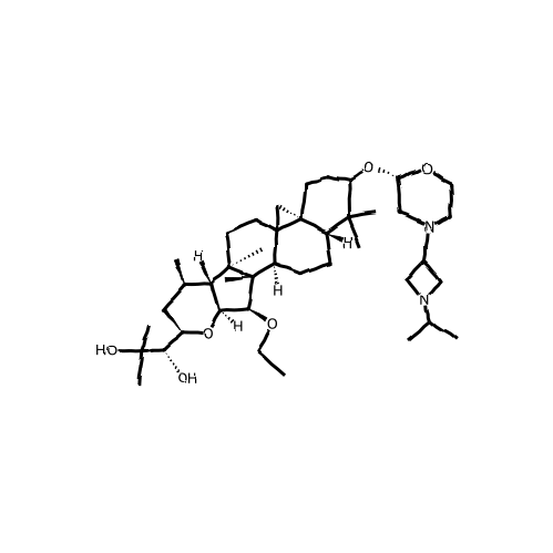 CCO[C@H]1[C@H]2O[C@@H]([C@H](O)C(C)(C)O)C[C@@H](C)[C@@H]2[C@@]2(C)CCC34C[C@@]35CCC(O[C@H]3CN(C6CN(C(C)C)C6)CCO3)C(C)(C)[C@@H]5CC[C@H]4[C@]12C